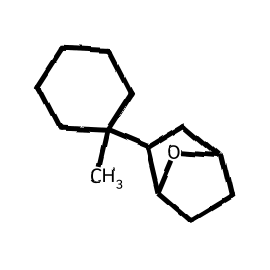 CC1(C2CC3CCC2O3)CCCCC1